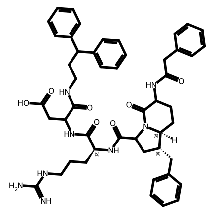 N=C(N)NCCC[C@H](NC(=O)C1C[C@@H](Cc2ccccc2)[C@@H]2CCC(NC(=O)Cc3ccccc3)C(=O)N12)C(=O)NC(CC(=O)O)C(=O)NCCC(c1ccccc1)c1ccccc1